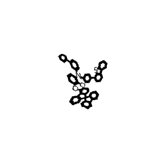 c1ccc(-c2cccc(N(c3ccc(-c4cccc5c4sc4ccccc45)cc3)c3cccc4c3Oc3ccc5c(c3O4)-c3ccccc3C53c4ccccc4-c4ccccc43)c2)cc1